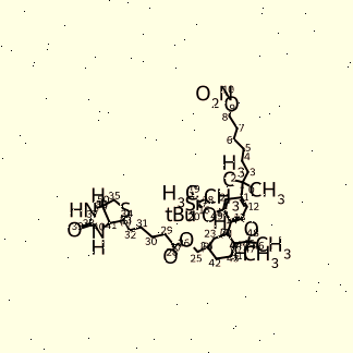 CC(C)(CCCCCCO[N+](=O)[O-])c1cc2c(c(O[Si](C)(C)C(C)(C)C)c1)[C@@H]1C[C@H](COC(=O)CCCC[C@@H]3SC[C@@H]4NC(=O)NC43)CC[C@H]1C(C)(C)O2